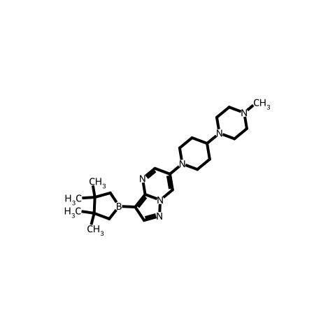 CN1CCN(C2CCN(c3cnc4c(B5CC(C)(C)C(C)(C)C5)cnn4c3)CC2)CC1